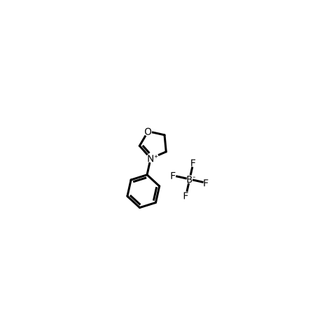 C1=[N+](c2ccccc2)CCO1.F[B-](F)(F)F